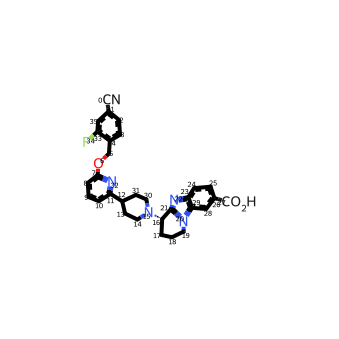 N#Cc1ccc(COc2cccc(C3CCN([C@H]4CCCn5c4nc4ccc(C(=O)O)cc45)CC3)n2)c(F)c1